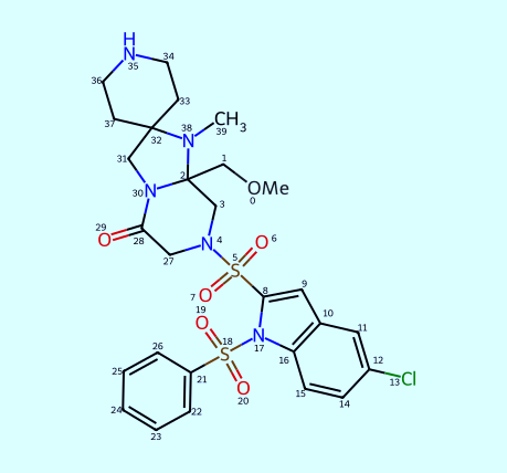 COCC12CN(S(=O)(=O)c3cc4cc(Cl)ccc4n3S(=O)(=O)c3ccccc3)CC(=O)N1CC1(CCNCC1)N2C